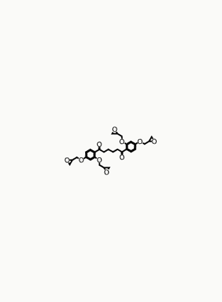 O=C(CCCCC(=O)c1ccc(OCC2CO2)cc1OCC1CO1)c1ccc(OCC2CO2)cc1OCC1CO1